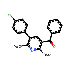 COc1nc(OC)c(-c2ccc(Cl)cc2)cc1C(=O)c1ccccc1